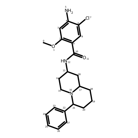 COc1cc(N)c(Cl)cc1C(=O)NC1CCN2C(CCCC2c2ccccc2)C1